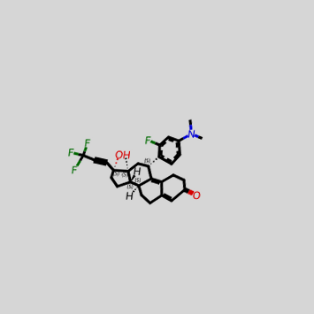 CN(C)c1ccc([C@H]2C[C@@]3(C)[C@@H](CC[C@@]3(O)C#CC(F)(F)F)[C@@H]3CCC4=CC(=O)CCC4=C32)c(F)c1